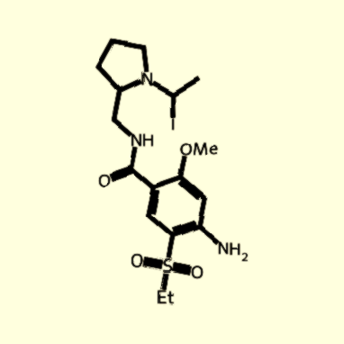 CCS(=O)(=O)c1cc(C(=O)NCC2CCCN2C(C)I)c(OC)cc1N